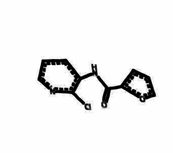 O=C(Nc1cccnc1Cl)c1ccco1